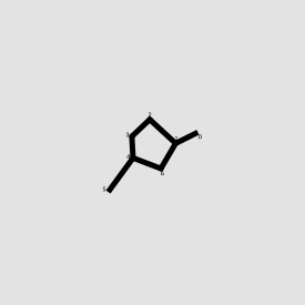 C[C]1CCC(C)C1